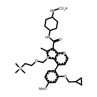 COc1ccc(-c2ccnc3c(C(=O)NC4CCC(NC(=O)O)CC4)c(C)n(COCC[Si](C)(C)C)c23)c(OCC2CC2)c1